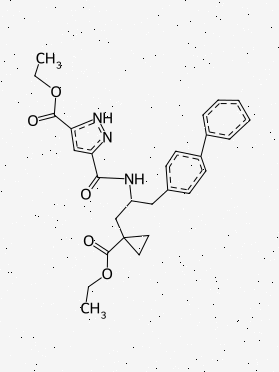 CCOC(=O)c1cc(C(=O)NC(Cc2ccc(-c3ccccc3)cc2)CC2(C(=O)OCC)CC2)n[nH]1